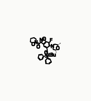 C[C@@H]1CN(c2c(CO[Si](c3ccccc3)(c3ccccc3)C(C)(C)C)cc3c(C(=O)N4CCCCO4)noc3c2F)C[C@H](C)O1